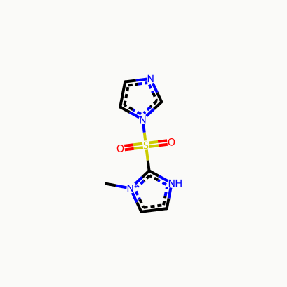 C[n+]1cc[nH]c1S(=O)(=O)n1ccnc1